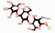 CC(=O)NC1C(OS)OC(CO)C(OC2OC(CO)C(O)C(OC3OC(CO)C(O)C(O)C3O)C2O)C1O